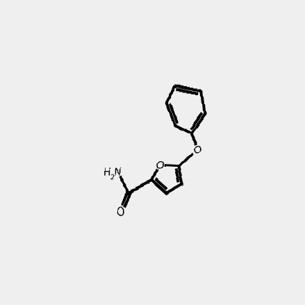 NC(=O)c1ccc(Oc2ccccc2)o1